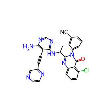 CC(Nc1ncnc(N)c1C#Cc1cnccn1)c1nc2cccc(Cl)c2c(=O)n1-c1cccc(C#N)c1